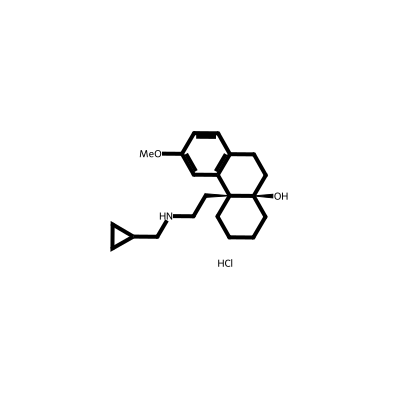 COc1ccc2c(c1)[C@@]1(CCNCC3CC3)CCCC[C@@]1(O)CC2.Cl